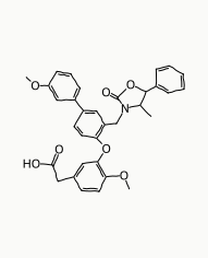 COc1cccc(-c2ccc(Oc3cc(CC(=O)O)ccc3OC)c(CN3C(=O)OC(c4ccccc4)C3C)c2)c1